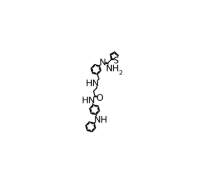 NC(=Nc1cccc(CNCCC(=O)Nc2ccc(Nc3ccccc3)cc2)c1)c1cccs1